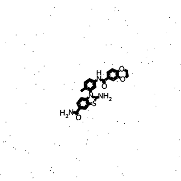 Cc1ccc(NC(=O)c2ccc3c(c2)OCCO3)cc1N1c2ccc(C(N)=O)cc2SC1N